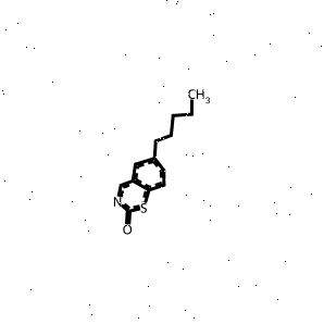 CCCCCc1ccc2sc(=O)ncc2c1